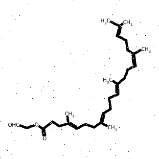 CC(C)=CCC/C(C)=C\CC/C(C)=C/CC/C=C(\C)CC/C=C(\C)CCC(=O)OCC=O